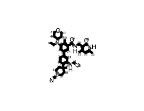 CCN(c1cc(-c2ccc(C3(C)CCB(C#N)CC3)c(NC=O)c2)cc(C(=O)NCc2c(C)cc(C)[nH]c2=O)c1C)C1CCOCC1